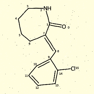 O=C1NCCCC/C1=C\c1ccccc1Cl